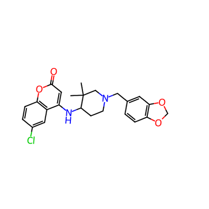 CC1(C)CN(Cc2ccc3c(c2)OCO3)CCC1Nc1cc(=O)oc2ccc(Cl)cc12